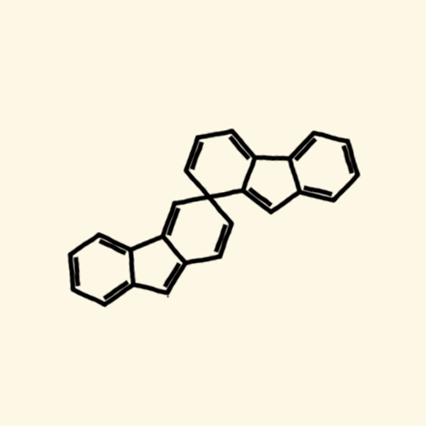 [C]1=C2C=CC3(C=CC=C4C3=Cc3ccccc34)C=C2c2ccccc21